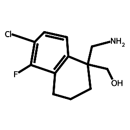 NCC1(CO)CCCc2c1ccc(Cl)c2F